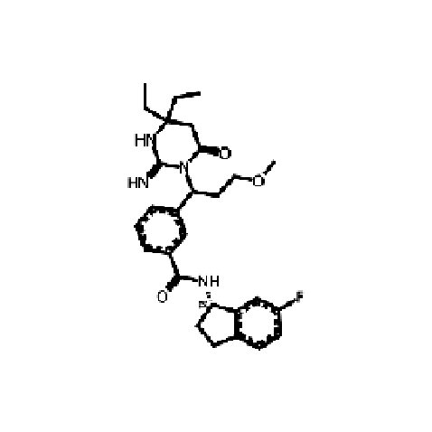 CCC1(CC)CC(=O)N(C(CCOC)c2cccc(C(=O)N[C@H]3CCc4ccc(F)cc43)c2)C(=N)N1